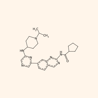 CC(C)N1CCC(Nc2cncc(-c3ccc4cnc(NC(=O)C5CCCC5)nc4c3)n2)CC1